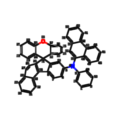 c1ccc(N(c2ccc3c(c2)C2(c4ccccc4Oc4ccccc42)c2ccc4ccccc4c2-3)c2cc3ccccc3c3ccccc23)cc1